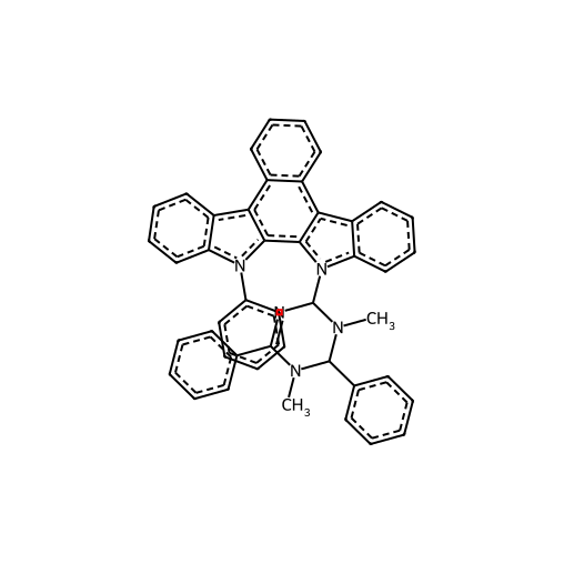 CN1C(c2ccccc2)=NC(n2c3ccccc3c3c4ccccc4c4c5ccccc5n(-c5ccccc5)c4c32)N(C)C1c1ccccc1